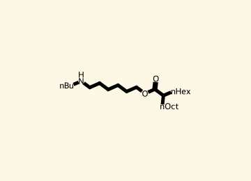 CCCCCCCCC(CCCCCC)C(=O)OCCCCCCNCCCC